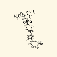 COc1ccc(S(=O)(=O)C2CCN(c3nc(-c4ccc(F)c(Cl)c4)cs3)CC2)cc1OC